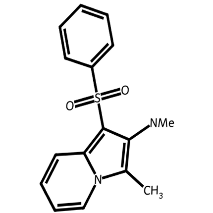 CNc1c(S(=O)(=O)c2ccccc2)c2ccccn2c1C